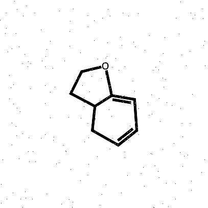 C1=CCC2CCOC2=C1